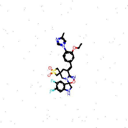 CCOc1cc(/C=C2\CC3(CN4C2=NOC42CNc4cc(F)c(F)cc42)CS(=O)(=O)C3)ccc1-n1cnc(C)c1